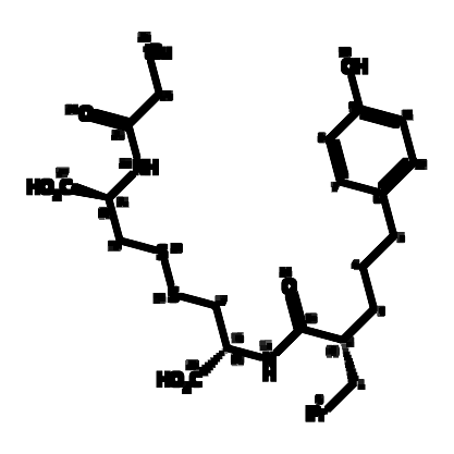 CC(C)C[C@@H](CCCc1ccc(O)cc1)C(=O)N[C@@H](CSSC[C@H](NC(=O)CC(C)(C)C)C(=O)O)C(=O)O